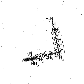 CC(=O)[O-].CC(=O)[O-].CC(=O)[O-].CC(=O)[O-].CC(=O)[O-].CC(=O)[O-].CC(=O)[O-].CC(=O)[O-].CC(=O)[O-].CC(=O)[O-].NCCNCCN.NCCNCCN.[Mn+2].[Mn+2].[Mn+2].[Mn+2].[Mn+2]